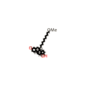 COCCCCCCCCCCC[C@@H]1CC2=CC(=O)CC[C@]2(C)[C@H]2CC[C@@]3(C)[C@@H](CC[C@]3(C)O)[C@H]12